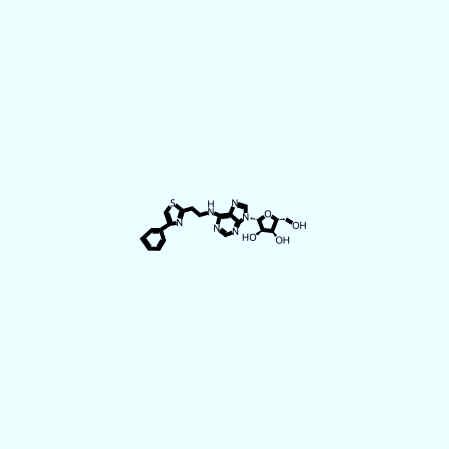 OC[C@H]1O[C@@H](n2cnc3c(NCCc4nc(-c5ccccc5)cs4)ncnc32)[C@H](O)[C@@H]1O